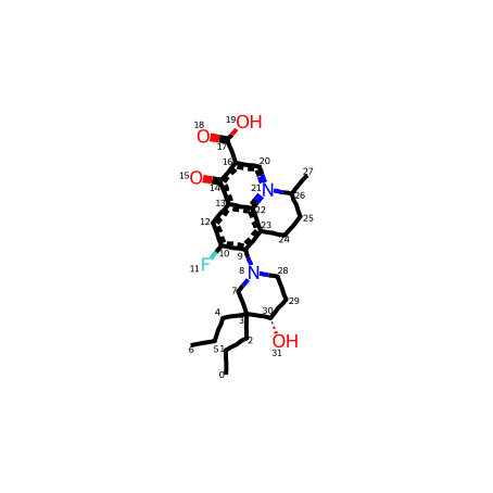 CCCC1(CCC)CN(c2c(F)cc3c(=O)c(C(=O)O)cn4c3c2CCC4C)CC[C@@H]1O